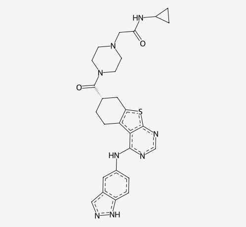 O=C(CN1CCN(C(=O)[C@H]2CCc3c(sc4ncnc(Nc5ccc6[nH]ncc6c5)c34)C2)CC1)NC1CC1